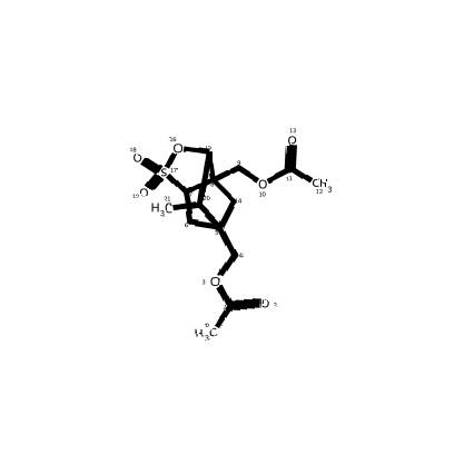 CC(=O)OCC12CC3C(COC(C)=O)(C1)C(OS3(=O)=O)C2C